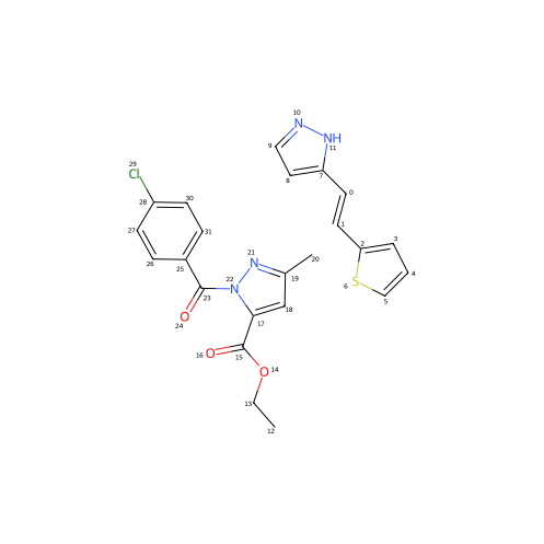 C(=Cc1cccs1)c1ccn[nH]1.CCOC(=O)c1cc(C)nn1C(=O)c1ccc(Cl)cc1